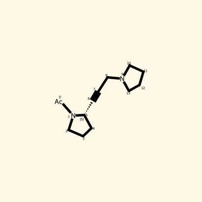 CC(=O)N1CCC[C@H]1C#CCN1CCCC1